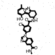 CNC(=O)c1ccc2c(c1)ncn2-c1ccc(C(=O)N[C@]2(C)CCc3nn4c(C)ccc(O)c4c3C2)c(Cl)c1